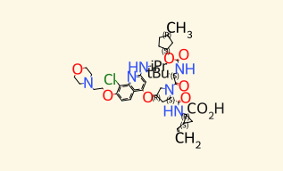 C=C[C@@H]1C[C@]1(NC(=O)[C@@H]1C[C@@H](Oc2cc(NC(C)C)nc3c(Cl)c(OCCN4CCOCC4)ccc23)CN1C(=O)[C@@H](NC(=O)O[C@H]1CC[C@@H](C)C1)C(C)(C)C)C(=O)O